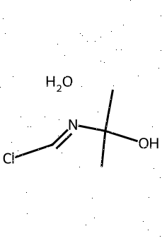 CC(C)(O)N=CCl.O